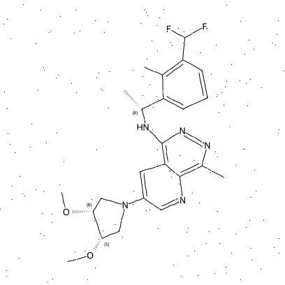 CO[C@H]1CN(c2cnc3c(C)nnc(N[C@H](C)c4cccc(C(F)F)c4C)c3c2)C[C@H]1OC